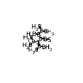 BB(B)B(B)B(B=S)B(B(B)B)B(B)B